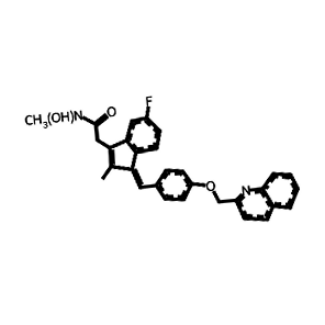 CC1=C(CC(=O)N(C)O)c2cc(F)ccc2/C1=C\c1ccc(OCc2ccc3ccccc3n2)cc1